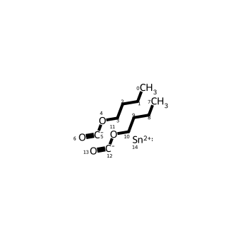 CCCCO[C-]=O.CCCCO[C-]=O.[Sn+2]